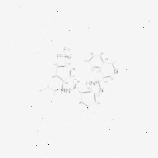 CCC[C@H](NC(=O)c1cccc2nc(-c3cncc4ccccc34)[nH]c12)c1ccc(C(F)(F)F)cc1